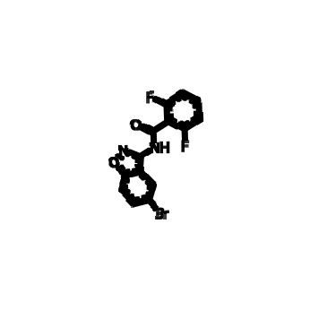 O=C(Nc1noc2ccc(Br)cc12)c1c(F)cccc1F